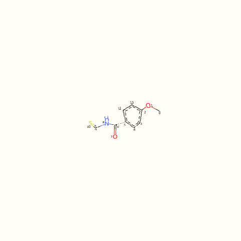 COc1ccc(C(=O)NC=S)cc1